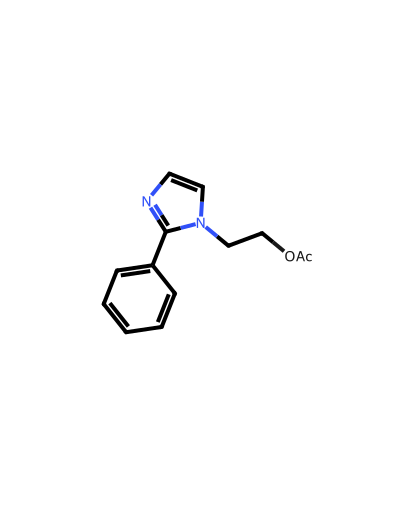 CC(=O)OCCn1ccnc1-c1ccccc1